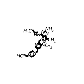 CCCCNc1nc(N)nc2c(C)nn(Cc3ncc(CN4CCN(CCO)CC4)cc3OC)c12